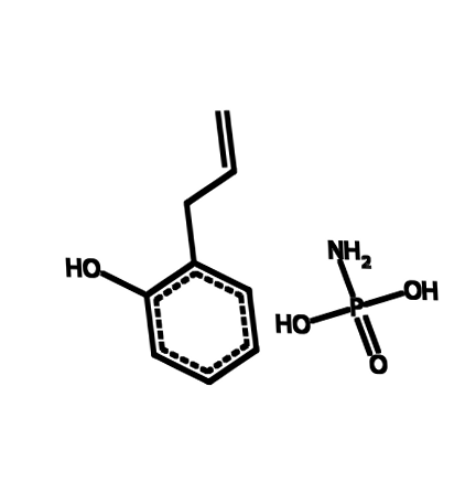 C=CCc1ccccc1O.NP(=O)(O)O